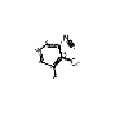 C#N.Cc1cnccc1Cl